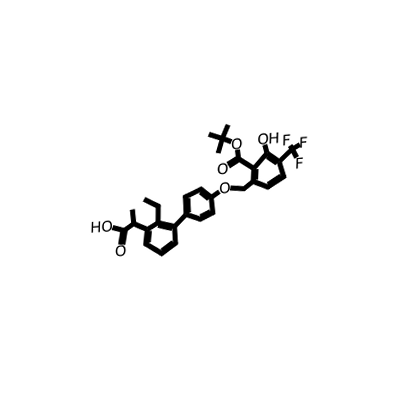 CCc1c(-c2ccc(OCc3ccc(C(F)(F)F)c(O)c3C(=O)OC(C)(C)C)cc2)cccc1C(C)C(=O)O